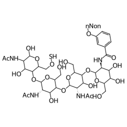 CCCCCCCCCOc1cccc(C(=O)N[C@@H]2C(OC3C(CO)OC(OC4C(CO)OC(OC5C(COS)OC(O)C(NC(C)=O)C5O)[C@@H](NC(C)=O)C4O)[C@@H](NC(C)=O)C3O)OC(CO)C(O)C2O)c1